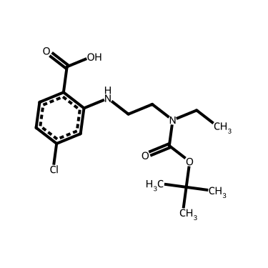 CCN(CCNc1cc(Cl)ccc1C(=O)O)C(=O)OC(C)(C)C